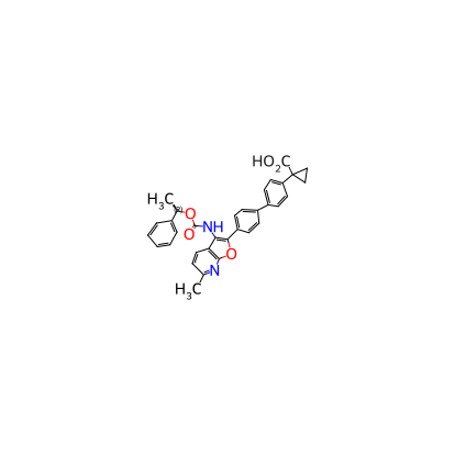 Cc1ccc2c(NC(=O)O[C@H](C)c3ccccc3)c(-c3ccc(-c4ccc(C5(C(=O)O)CC5)cc4)cc3)oc2n1